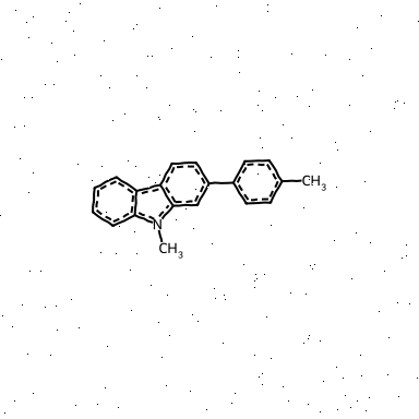 Cc1ccc(-c2ccc3c4ccccc4n(C)c3c2)cc1